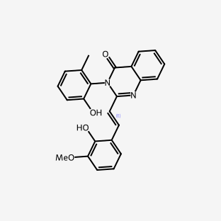 COc1cccc(/C=C/c2nc3ccccc3c(=O)n2-c2c(C)cccc2O)c1O